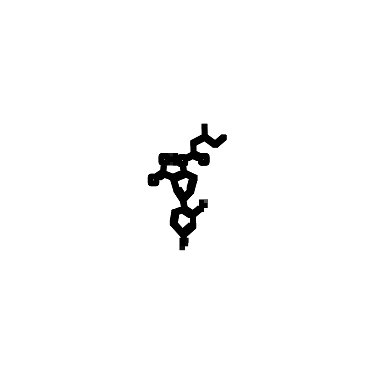 CCC(C)CC(=O)Oc1ccc(-c2ccc(F)cc2F)cc1C(=O)O